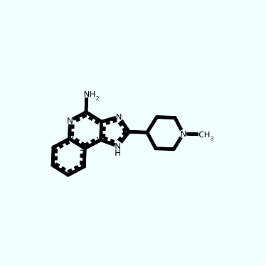 CN1CCC(c2nc3c(N)nc4ccccc4c3[nH]2)CC1